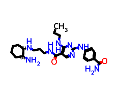 CCCNc1nc(Nc2ccc(C(N)=O)cc2)ncc1C(=O)NCCCN[C@H]1CCCC[C@@H]1N